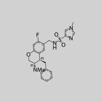 CN[C@H]1COc2cc(F)c(CNS(=O)(=O)c3cn(C)cn3)cc2[C@H]1Cc1ccccc1